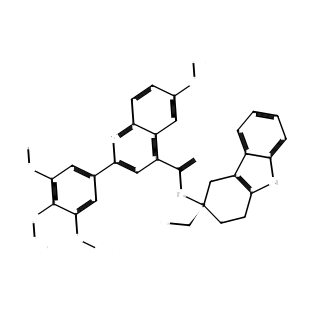 COc1ccc2nc(-c3cc(OC)c(OC)c(OC)c3)cc(C(=O)N[C@@]3(CO)CCc4[nH]c5ccccc5c4C3)c2c1